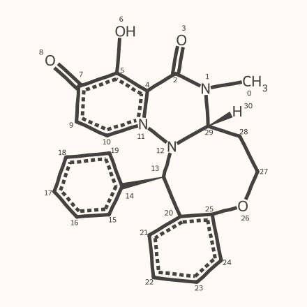 CN1C(=O)c2c(O)c(=O)ccn2N2[C@H](c3ccccc3)c3ccccc3OCC[C@@H]12